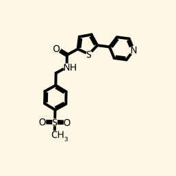 CS(=O)(=O)c1ccc(CNC(=O)c2ccc(-c3ccncc3)s2)cc1